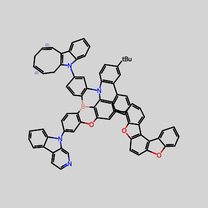 CC(C)(C)c1ccc(N2c3cc(-n4c5c(c6ccccc64)/C=C\C/C=C\C5)ccc3B3c4ccc(-n5c6ccccc6c6ccncc65)cc4Oc4cc(-c5cccc6c5oc5ccc7oc8ccccc8c7c56)cc2c43)c(-c2ccccc2)c1